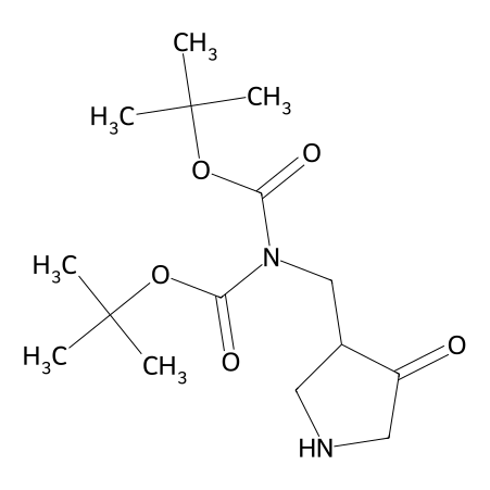 CC(C)(C)OC(=O)N(CC1CNCC1=O)C(=O)OC(C)(C)C